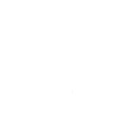 IC(I)CC1C=CC1